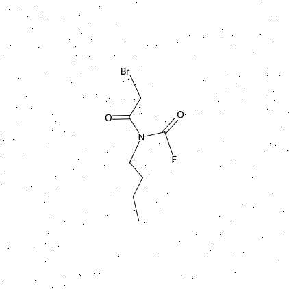 CCCCN(C(=O)F)C(=O)CBr